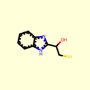 OC(CS)c1nc2ccccc2[nH]1